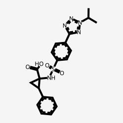 CC(C)n1nnc(-c2ccc(S(=O)(=O)NC3(C(=O)O)CC3c3ccccc3)cc2)n1